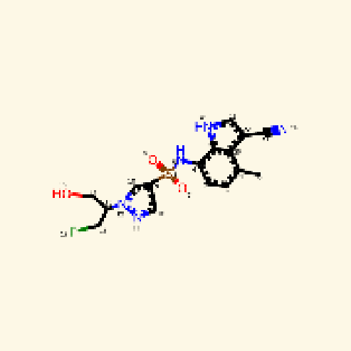 Cc1ccc(NS(=O)(=O)c2cnn(C(CO)CF)c2)c2[nH]cc(C#N)c12